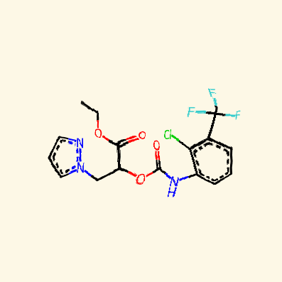 CCOC(=O)C(Cn1cccn1)OC(=O)Nc1cccc(C(F)(F)F)c1Cl